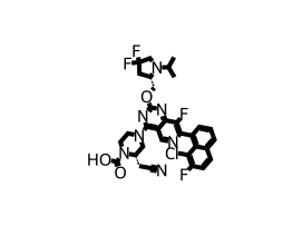 CC(C)N1CC(F)(F)C[C@H]1COc1nc(N2CCN(C(=O)O)[C@@H](CC#N)C2)c2cnc(-c3cccc4ccc(F)c(Cl)c34)c(F)c2n1